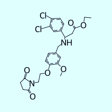 CCOC(=O)CC(NCc1ccc(OCCN2C(=O)CCC2=O)c(OC)c1)c1ccc(Cl)c(Cl)c1